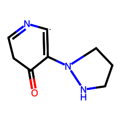 O=C1CC=N[C]=C1N1CCCN1